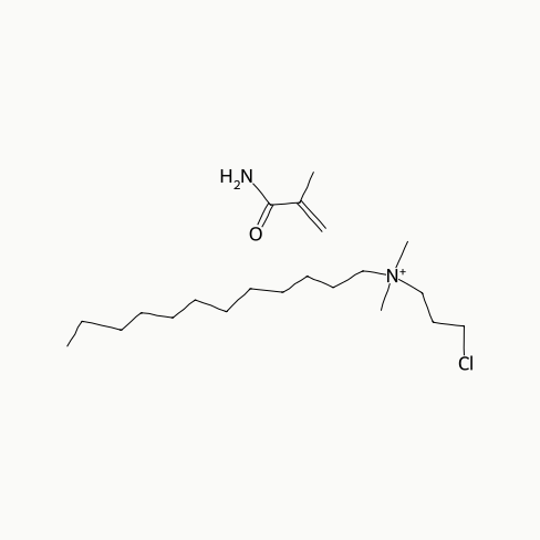 C=C(C)C(N)=O.CCCCCCCCCCCC[N+](C)(C)CCCCl